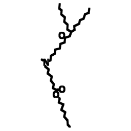 CCCCCCCCCOC(=O)CCCCCCCN(C)CCCCCCCC(=O)CC(CCCCCCCC)CCCCCCCC